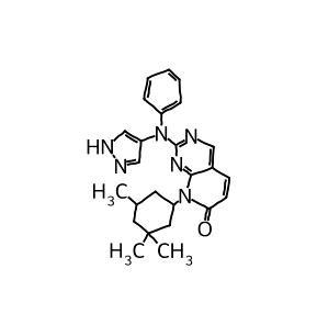 CC1CC(n2c(=O)ccc3cnc(N(c4ccccc4)c4cn[nH]c4)nc32)CC(C)(C)C1